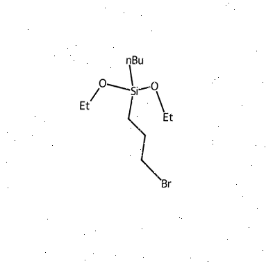 CCCC[Si](CCCBr)(OCC)OCC